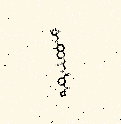 Cc1c(OCc2cnn[nH]2)ccc2c1CCN(C[C@@H](O)CNC(=O)c1ccnc(NC3CCC3)c1)C2